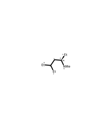 CCC(CC)C[C@@H](CC)NC